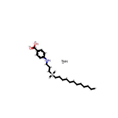 CCCCCCCCCCCC[Si](C)(C)CCCNc1ccc(C(=O)O)cc1.[NaH]